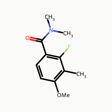 COc1ccc(C(=O)N(C)C)c(F)c1C